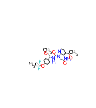 COCC(NC(=O)N1CC(=O)Nc2c(C(C)=O)ccnc21)c1ccc(OC(C)(F)F)cc1